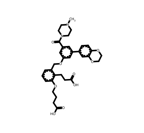 CN1CCN(C(=O)c2cc(OCc3cccc(OCCCC(=O)O)c3CCC(=O)O)cc(-c3ccc4c(c3)OCCO4)c2)CC1